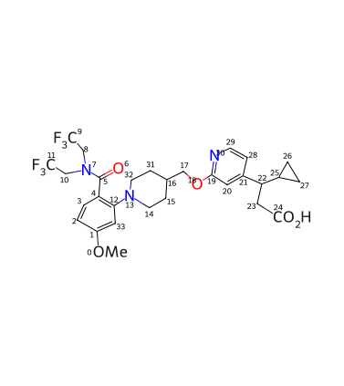 COc1ccc(C(=O)N(CC(F)(F)F)CC(F)(F)F)c(N2CCC(COc3cc(C(CC(=O)O)C4CC4)ccn3)CC2)c1